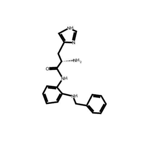 N[C@@H](Cc1c[nH]cn1)C(=O)Nc1ccccc1NCc1ccccc1